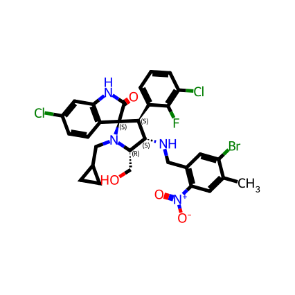 Cc1cc([N+](=O)[O-])c(CN[C@@H]2[C@H](CO)N(CC3CC3)[C@@]3(C(=O)Nc4cc(Cl)ccc43)[C@H]2c2cccc(Cl)c2F)cc1Br